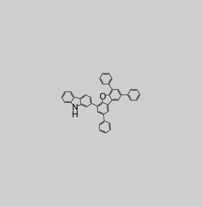 c1ccc(-c2cc(-c3ccccc3)c3oc4c(-c5ccc6c(c5)[nH]c5ccccc56)cc(-c5ccccc5)cc4c3c2)cc1